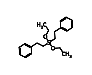 CCO[Si](CCc1ccccc1)(CCc1ccccc1)OCC